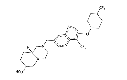 O=C(O)[C@@H]1CC[C@@H]2CN(Cc3ccc4c(C(F)(F)F)c(OC5CCC(C(F)(F)F)CC5)ccc4c3)CCN2C1